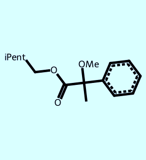 CCCC(C)COC(=O)C(C)(OC)c1ccccc1